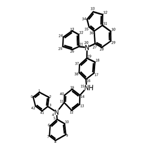 c1ccc(N(c2ccccc2)c2ccc(Nc3ccc(N(c4ccccc4)c4cccc5ccccc45)cc3)cc2)cc1